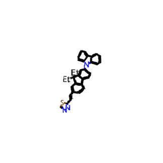 CCC1(CC)c2cc(/C=C/c3nncs3)ccc2-c2ccc(-n3c4ccccc4c4ccccc43)cc21